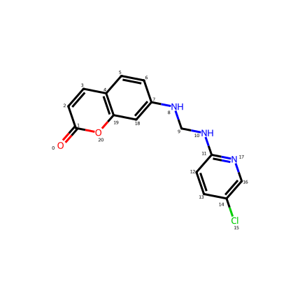 O=c1ccc2ccc(NCNc3ccc(Cl)cn3)cc2o1